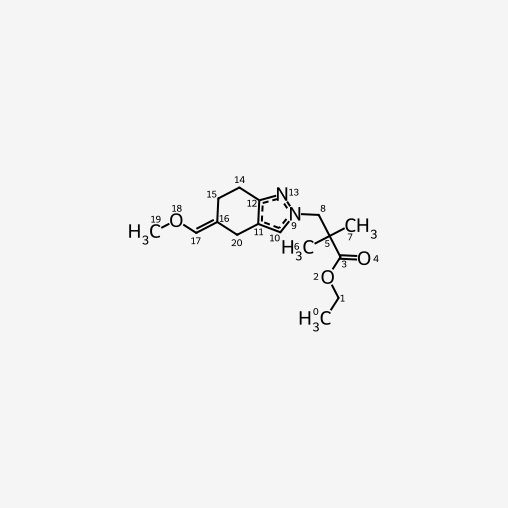 CCOC(=O)C(C)(C)Cn1cc2c(n1)CCC(=COC)C2